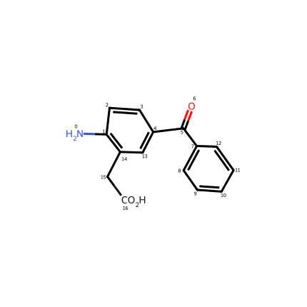 Nc1ccc(C(=O)c2ccccc2)cc1CC(=O)O